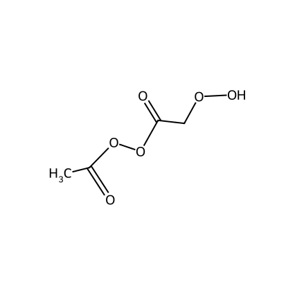 CC(=O)OOC(=O)COO